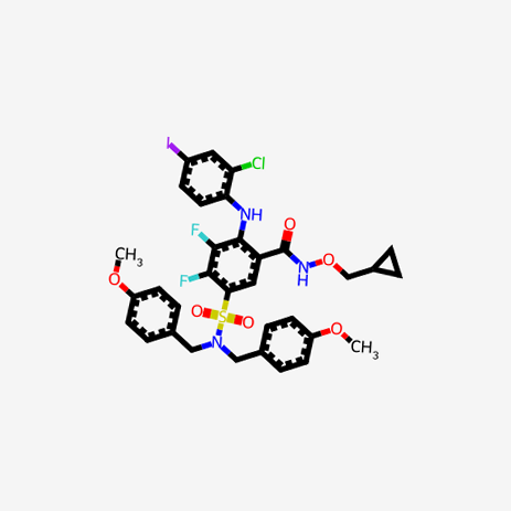 COc1ccc(CN(Cc2ccc(OC)cc2)S(=O)(=O)c2cc(C(=O)NOCC3CC3)c(Nc3ccc(I)cc3Cl)c(F)c2F)cc1